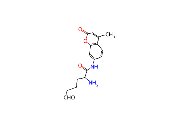 Cc1cc(=O)oc2cc(NC(=O)C(N)CCCC=O)ccc12